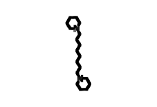 C(CCCCN1CCCCC1)CCCN1CCCCC1